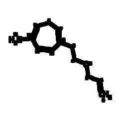 C=CCOCCC1=CCC=C(N)C=C1